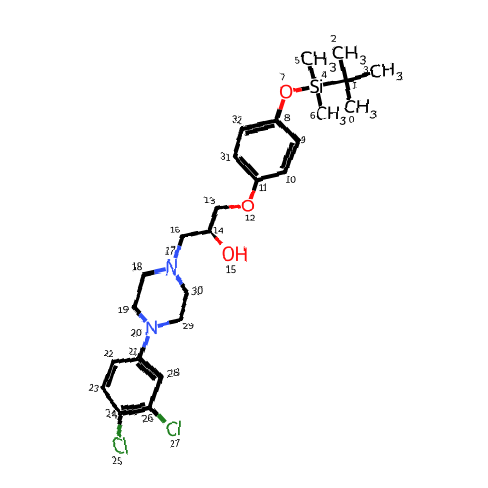 CC(C)(C)[Si](C)(C)Oc1ccc(OC[C@@H](O)CN2CCN(c3ccc(Cl)c(Cl)c3)CC2)cc1